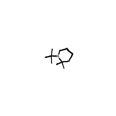 CC(C)(C)N1CCCCC1(C)C